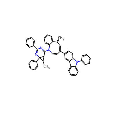 C=C1/C=C(c2ccc3c(c2)c2ccccc2n3-c2ccccc2)\C=C/N(C2=NC(c3ccccc3)=NC3(c4ccccc4)C(C)C23)c2ccccc21